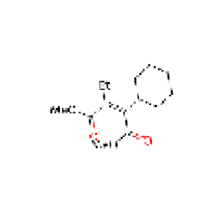 CC/C(C(=O)OC)=C(/C(=O)OC)C1CCCCC1